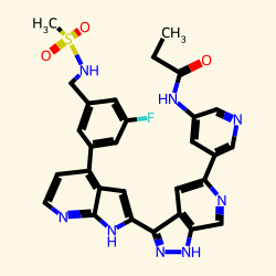 CCC(=O)Nc1cncc(-c2cc3c(-c4cc5c(-c6cc(F)cc(CNS(C)(=O)=O)c6)ccnc5[nH]4)n[nH]c3cn2)c1